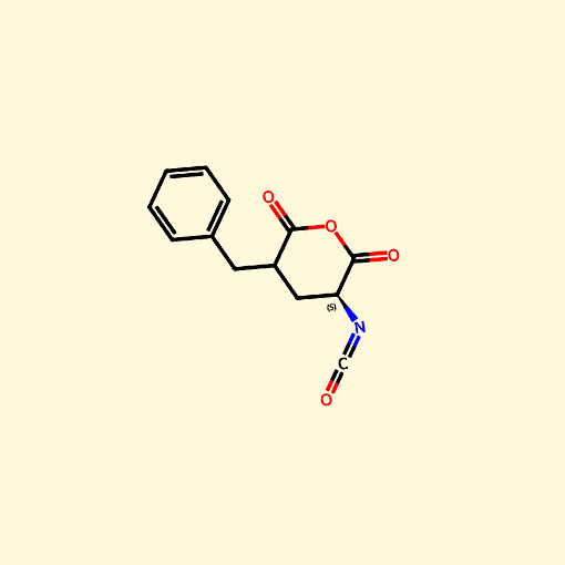 O=C=N[C@H]1CC(Cc2ccccc2)C(=O)OC1=O